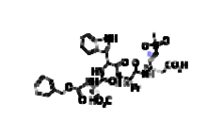 CC(C)[C@H](NC(=O)C(NC(=O)[C@H](CC(=O)O)NC(=O)OCc1ccccc1)c1c[nH]c2ccccc12)C(=O)N[C@H](/C=C/S(C)(=O)=O)CC(=O)O